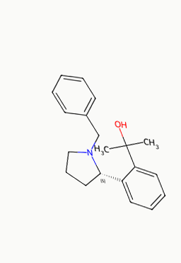 CC(C)(O)c1ccccc1[C@@H]1CCCN1Cc1ccccc1